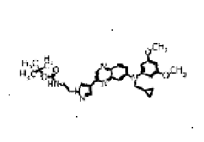 COc1cc(OC)cc(N(CC2CC2)c2ccc3ncc(-c4cnn(CCNC(=O)OC(C)(C)C)c4)nc3c2)c1